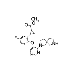 COC(=O)C1CC1c1cc(F)ccc1Oc1cncnc1N1CCC2(CCNC2)C1